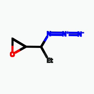 CCC(N=[N+]=[N-])C1CO1